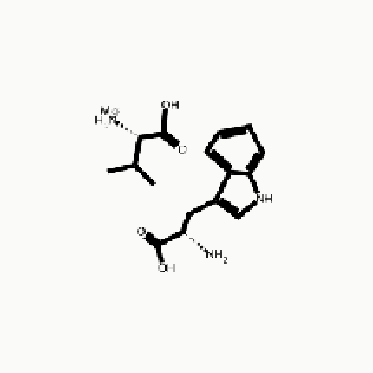 CC(C)[C@H](N)C(=O)O.N[C@@H](Cc1c[nH]c2ccccc12)C(=O)O.[Mg]